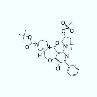 CC(C)(C)OC(=O)N1CCN2C(=O)c3c(N4CC(OS(C)(=O)=O)CC4(C)C)nc(-c4ccccc4)c(Cl)c3OC[C@H]2C1